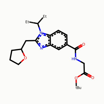 CCC(CC)n1c(CC2CCCO2)nc2cc(C(=O)NCC(=O)OC(C)(C)C)ccc21